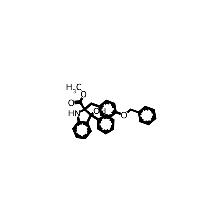 COC(=O)C1(Cc2ccc(OCc3ccccc3)cc2)Nc2ccccc2C1(O)c1ccccc1